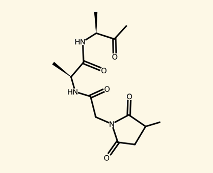 CC(=O)[C@H](C)NC(=O)[C@H](C)NC(=O)CN1C(=O)CC(C)C1=O